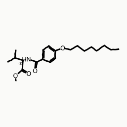 CCCCCCCCOc1ccc(C(=O)N[C@H](C(=O)OC)C(C)C)cc1